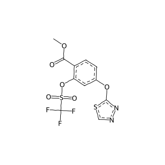 COC(=O)c1ccc(Oc2nncs2)cc1OS(=O)(=O)C(F)(F)F